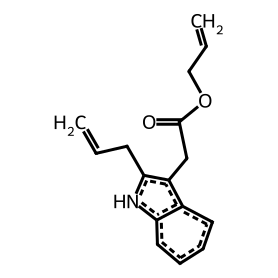 C=CCOC(=O)Cc1c(CC=C)[nH]c2ccccc12